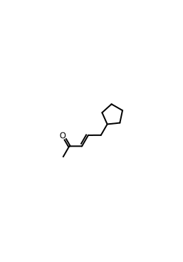 CC(=O)C=CCC1CCCC1